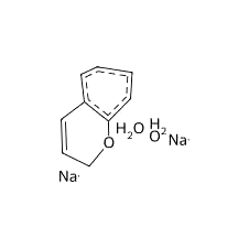 C1=Cc2ccccc2OC1.O.O.[Na].[Na]